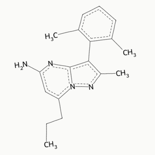 CCCc1cc(N)nc2c(-c3c(C)cccc3C)c(C)nn12